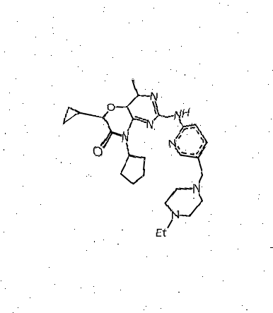 CCN1CCN(Cc2ccc(NC3=NC(C)C4OC(C5CC5)C(=O)N(C5CCCC5)C4=N3)nc2)CC1